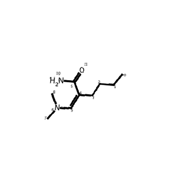 CCCCC(=CN(C)C)C(N)=O